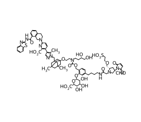 Cc1c(-c2ccc(N3CCc4cccc(C(=O)Nc5nc6ccccc6s5)c4C3)nc2C(=O)O)cnn1CC12CC3(C)CC(C)(C1)CC(OCCN(CC[C@H](O)CO)C(=O)OCc1ccc(CCCCNC(=O)CN4C[C@](C=O)(N5C(=O)C=CC5=O)C[C@H]4COCCS(=O)(=O)O)cc1O[C@@H]1O[C@H](C(=O)O)[C@@H](O)[C@H](O)[C@H]1O)(C3)C2